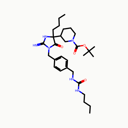 CCCCNC(=O)NCc1ccc(CN2C(=N)NC(CCCC)(C3CCCN(C(=O)OC(C)(C)C)C3)C2=O)cc1